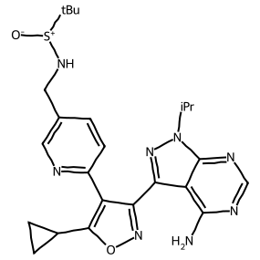 CC(C)n1nc(-c2noc(C3CC3)c2-c2ccc(CN[S+]([O-])C(C)(C)C)cn2)c2c(N)ncnc21